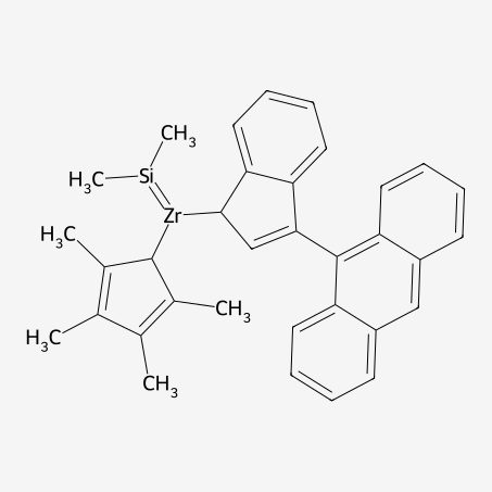 CC1=C(C)[CH]([Zr]([CH]2C=C(c3c4ccccc4cc4ccccc34)c3ccccc32)=[Si](C)C)C(C)=C1C